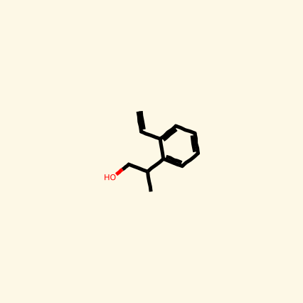 C=Cc1ccccc1C(C)CO